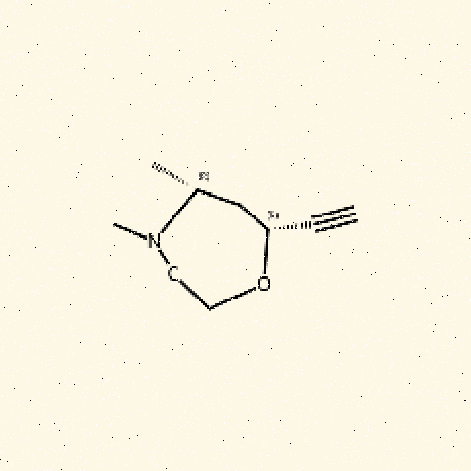 C#C[C@H]1C[C@@H](C)N(C)CCO1